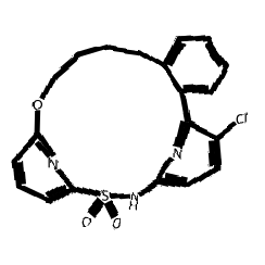 O=S1(=O)Nc2ccc(Cl)c(n2)-c2ccccc2CCCCOc2cccc1n2